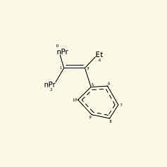 CCCC(CCC)=C(CC)c1ccccc1